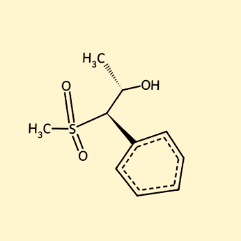 C[C@H](O)[C@@H](c1ccccc1)S(C)(=O)=O